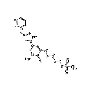 Cn1cc(-c2cn(Cc3ccccc3)nn2)cc(OCOCCCS(C)(=O)=O)c1=O